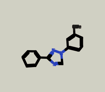 COc1cccc(-n2cnc(-c3ccccc3)n2)c1